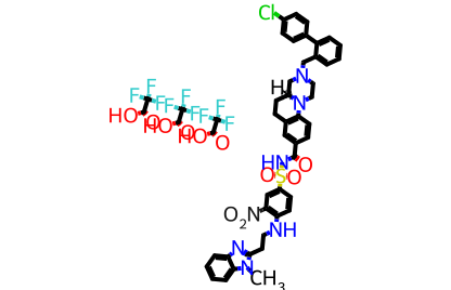 Cn1c(CCNc2ccc(S(=O)(=O)NC(=O)c3ccc4c(c3)CC[C@H]3CN(Cc5ccccc5-c5ccc(Cl)cc5)CCN43)cc2[N+](=O)[O-])nc2ccccc21.O=C(O)C(F)(F)F.O=C(O)C(F)(F)F.O=C(O)C(F)(F)F